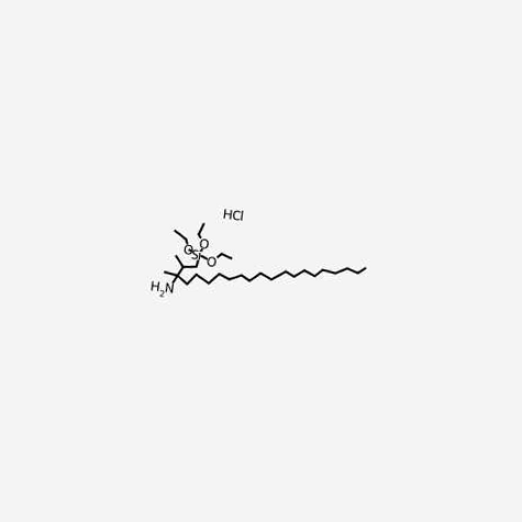 CCCCCCCCCCCCCCCCCCC(C)(N)C(C)C[Si](OCC)(OCC)OCC.Cl